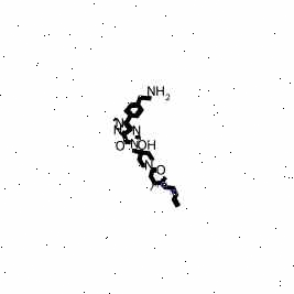 C=C/C=C\C=C(/C)[C@H](C)CC(=O)N1CCC(O)(Cn2cnc3c(-c4ccc(CCN)cc4)n(C)nc3c2=O)CC1